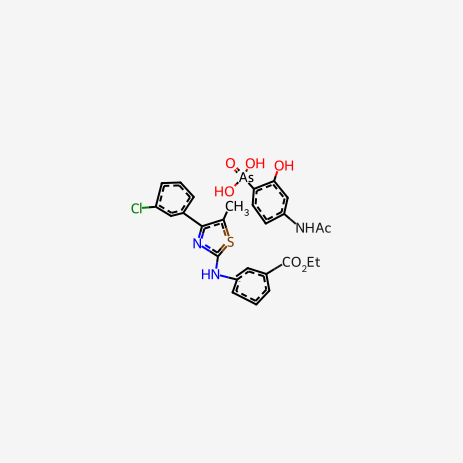 CC(=O)Nc1ccc([As](=O)(O)O)c(O)c1.CCOC(=O)c1cccc(Nc2nc(-c3cccc(Cl)c3)c(C)s2)c1